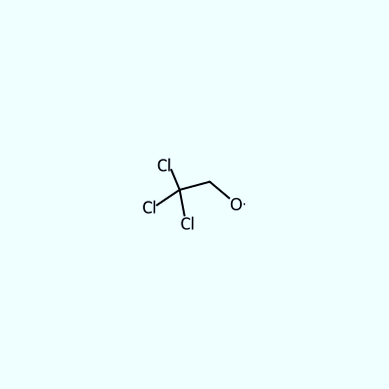 [O]CC(Cl)(Cl)Cl